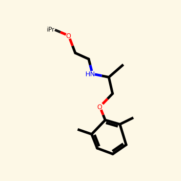 Cc1cccc(C)c1OCC(C)NCCOC(C)C